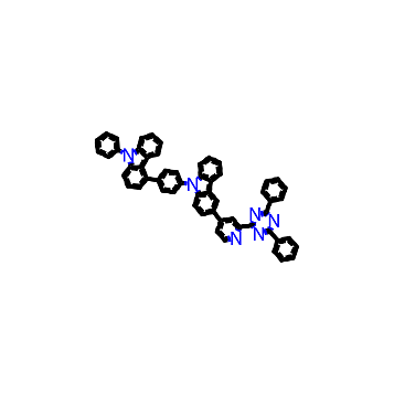 c1ccc(-c2nc(-c3ccccc3)nc(-c3cc(-c4ccc5c(c4)c4ccccc4n5-c4ccc(-c5cccc6c5c5ccccc5n6-c5ccccc5)cc4)ccn3)n2)cc1